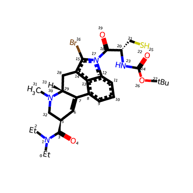 CCN(CC)C(=O)[C@@H]1C=C2c3cccc4c3c(c(Br)n4C(=O)[C@H](CS)NC(=O)OC(C)(C)C)C[C@H]2N(C)C1